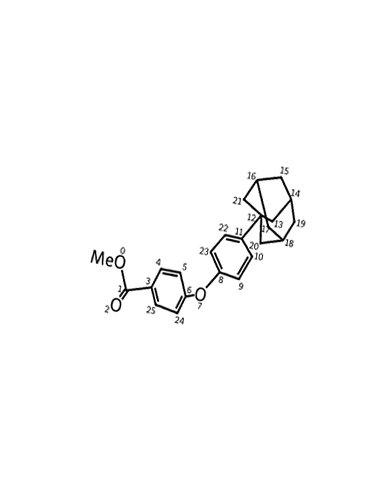 COC(=O)c1ccc(Oc2ccc(C34CC5CC(CC(C5)C3)C4)cc2)cc1